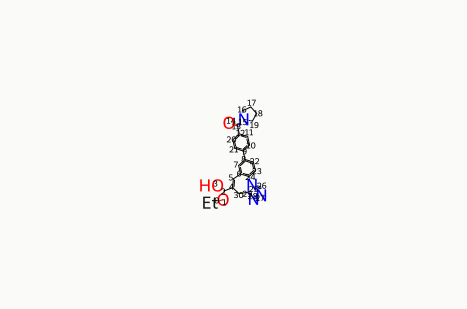 CCOC(O)C1=Cc2cc(-c3ccc(C(=O)N4CCCC4)cc3)ccc2-n2cnnc2C1